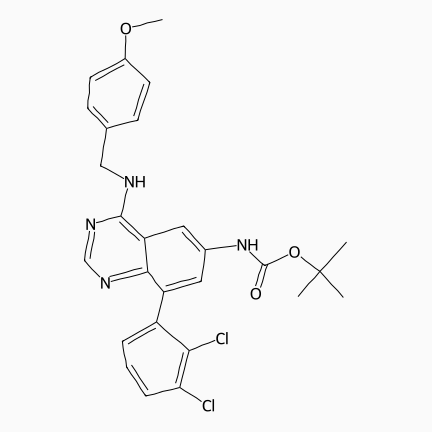 COc1ccc(CNc2ncnc3c(-c4cccc(Cl)c4Cl)cc(NC(=O)OC(C)(C)C)cc23)cc1